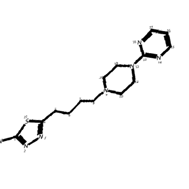 Nc1nnc(CCCCN2CCN(c3ncccn3)CC2)s1